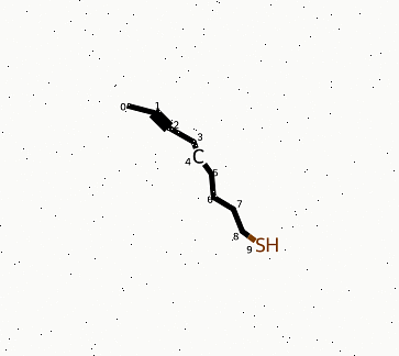 CC#CCCCCCCS